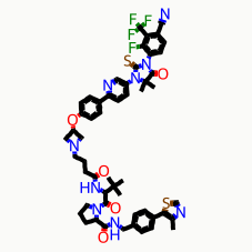 Cc1ncsc1-c1ccc(CNC(=O)C2CCCN2C(=O)C(NC(=O)CCCN2CC(Oc3ccc(-c4ccc(N5C(=S)N(c6ccc(C#N)c(C(F)(F)F)c6F)C(=O)C5(C)C)cn4)cc3)C2)C(C)(C)C)cc1